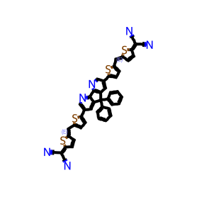 N#CC(C#N)=c1cc/c(=C\c2ccc(-c3cnc4c(c3)C(c3ccccc3)(c3ccccc3)c3cc(-c5ccc(/C=c6\ccc(=C(C#N)C#N)s6)s5)cnc3-4)s2)s1